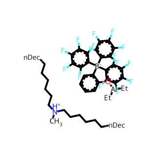 CCCCCCCCCCCCCCCC[NH+](C)CCCCCCCCCCCCCCCC.C[CH2][Al]([CH2]C)[O]c1ccccc1[B-](c1c(F)c(F)c(F)c(F)c1F)(c1c(F)c(F)c(F)c(F)c1F)c1c(F)c(F)c(F)c(F)c1F